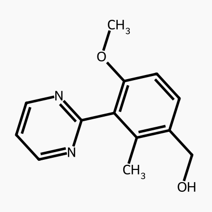 COc1ccc(CO)c(C)c1-c1ncccn1